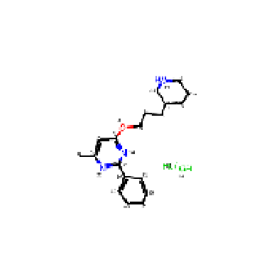 Cc1cc(OCCCC2CCCNC2)nc(-c2ccccc2)n1.Cl.Cl